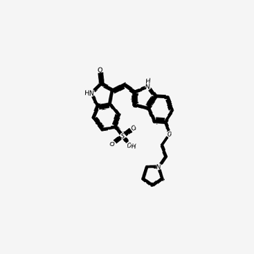 O=C1Nc2ccc(S(=O)(=O)O)cc2/C1=C\c1cc2cc(OCCN3CCCC3)ccc2[nH]1